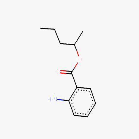 CCCC(C)OC(=O)c1ccccc1N